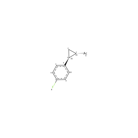 CC(=O)[C@H]1C[C@@H]1c1ccc(F)cc1